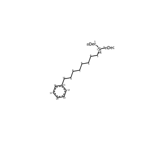 CCCCCCCCCC[SiH](CCCCCCCCCC)CCCCCCCCc1ccccc1